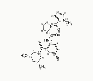 C[C@@H]1C[C@H](C)CN(C(=O)c2cc(Br)ccc2NC(=O)[C@@H]2CCCN2C(=O)c2nccn2C)C1